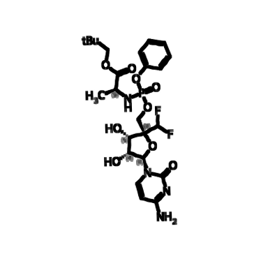 C[C@H](NP(=O)(OC[C@@]1(C(F)F)O[C@@H](n2ccc(N)nc2=O)[C@H](O)[C@@H]1O)Oc1ccccc1)C(=O)OCC(C)(C)C